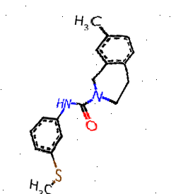 CSc1cccc(NC(=O)N2CCc3ccc(C)cc3C2)c1